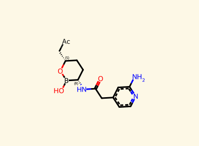 CC(=O)C[C@@H]1CC[C@H](NC(=O)Cc2ccnc(N)c2)B(O)O1